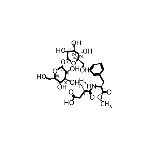 COC(=O)[C@H](Cc1ccccc1)NC(=O)[C@@H](N)CC(=O)O.OC[C@H]1O[C@H](O[C@H]2O[C@H](CO)[C@@H](O)[C@H](O)[C@H]2O)[C@H](O)[C@@H](O)[C@@H]1O